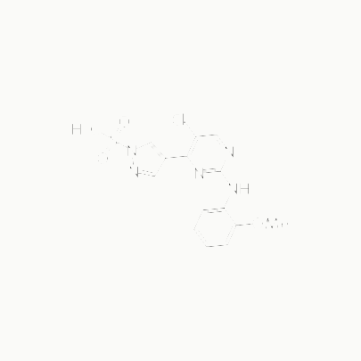 COc1c[c]ccc1Nc1ncc(Cl)c(-c2cnn(S(C)(=O)=O)c2)n1